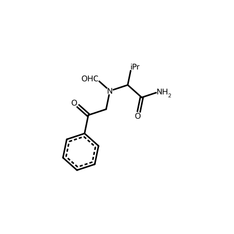 CC(C)C(C(N)=O)N(C=O)CC(=O)c1ccccc1